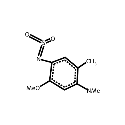 CNc1cc(OC)c(N=S(=O)=O)cc1C